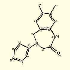 Cc1cc2c(cc1C)NC(=O)CN(c1ccnnc1)C2